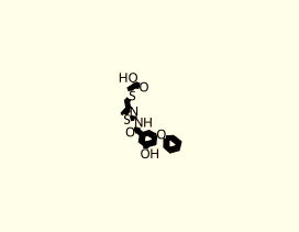 O=C(O)CSCc1csc(NC(=O)c2cc(O)cc(Oc3ccccc3)c2)n1